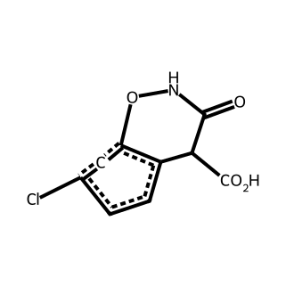 O=C(O)C1C(=O)NOc2cc(Cl)ccc21